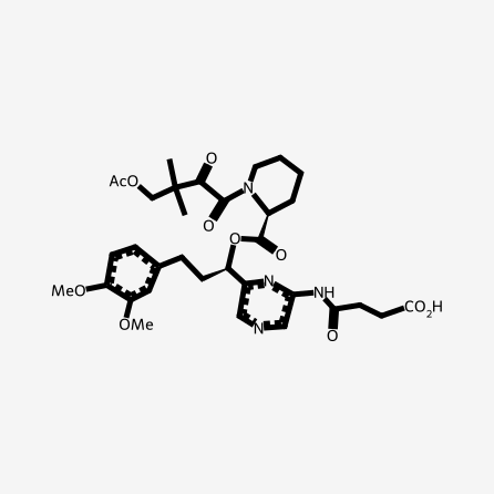 COc1ccc(CC[C@@H](OC(=O)[C@@H]2CCCCN2C(=O)C(=O)C(C)(C)COC(C)=O)c2cncc(NC(=O)CCC(=O)O)n2)cc1OC